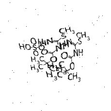 CSC(=N)NC(=O)OC(C)(C)C.CSC(=N)NC(=O)OC(C)(C)C.O=S(=O)(O)O